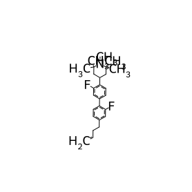 C=CCCc1ccc(-c2ccc(C3CC(C)(C)N(C)C(C)(C)C3)c(F)c2)c(F)c1